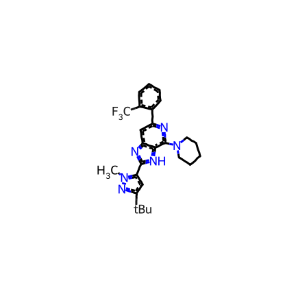 Cn1nc(C(C)(C)C)cc1-c1nc2cc(-c3ccccc3C(F)(F)F)nc(N3CCCCC3)c2[nH]1